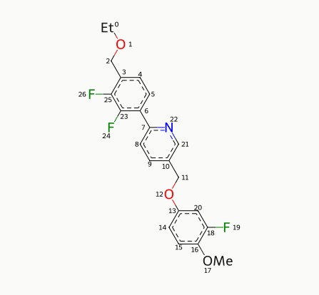 CCOCc1ccc(-c2ccc(COc3ccc(OC)c(F)c3)cn2)c(F)c1F